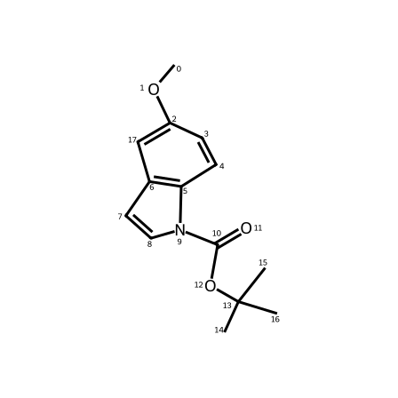 COc1ccc2c(ccn2C(=O)OC(C)(C)C)c1